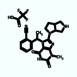 CC(c1ccccc1C#N)n1c(N2CCC3CNCC32)nc2c1c(=O)[nH]c(=O)n2C.O=C(O)C(F)(F)F